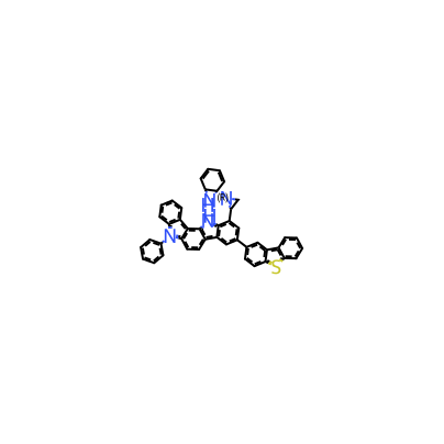 C1=CC2NC2([N@@]2CC2c2cc(-c3ccc4sc5ccccc5c4c3)cc3c2[nH]c2c3ccc3c2c2ccccc2n3-c2ccccc2)C=C1